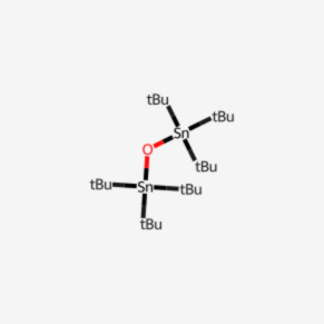 C[C](C)(C)[Sn]([O][Sn]([C](C)(C)C)([C](C)(C)C)[C](C)(C)C)([C](C)(C)C)[C](C)(C)C